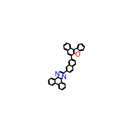 c1ccc2c(c1)cc(-c1ccc3ccc(-c4cnc5c6ccccc6c6ccccc6c5n4)cc3c1)c1oc3ccccc3c12